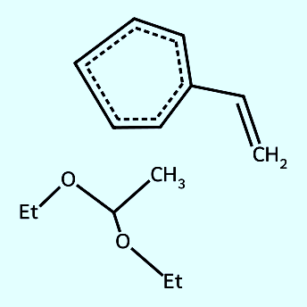 C=Cc1ccccc1.CCOC(C)OCC